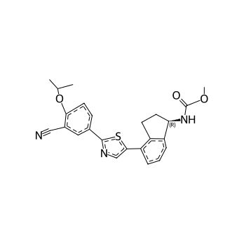 COC(=O)N[C@@H]1CCc2c(-c3cnc(-c4ccc(OC(C)C)c(C#N)c4)s3)cccc21